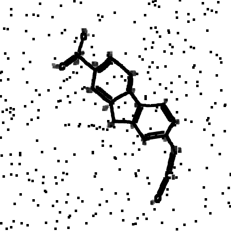 O=C=Nc1[c]c2c(cc1)-c1ccc([N+](=O)[O-])cc1C2